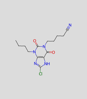 CCCCn1c(=O)n(CCCCC#N)c(=O)c2[nH]c(Cl)nc21